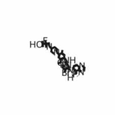 COc1cc(N2CCC(N3CC(F)(C(C)(C)O)C3)CC2)c(C)cc1Nc1ncc(Br)c(Nc2ccc3nccnc3c2P(C)C)n1